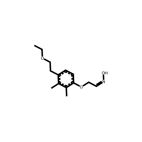 CCOCCc1ccc(OC/C=N\O)c(C)c1C